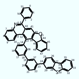 c1ccc(-c2nc3ccccc3c3c(-c4cccc(-c5cccc(-c6ccc7c(c6)sc6ccccc67)c5)c4)c4c(cc23)oc2ccccc24)cc1